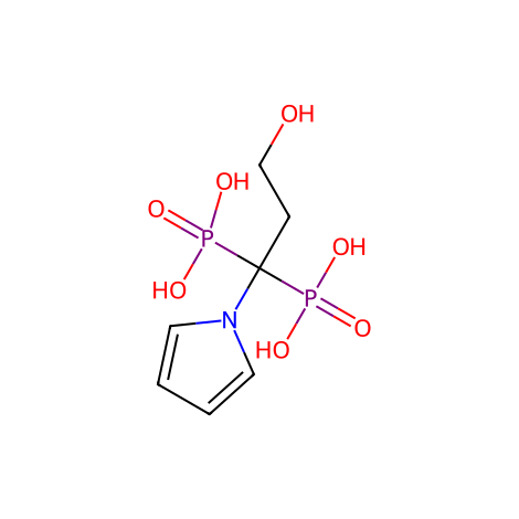 O=P(O)(O)C(CCO)(n1cccc1)P(=O)(O)O